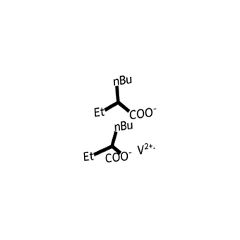 CCCCC(CC)C(=O)[O-].CCCCC(CC)C(=O)[O-].[V+2]